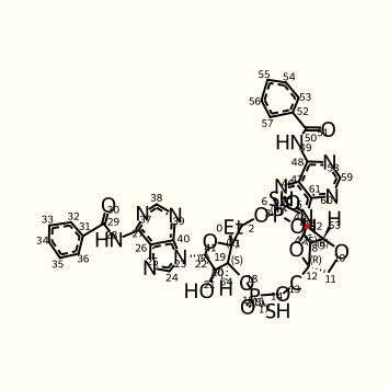 CC[C@@]12CO[P@@](=O)(S)O[C@H]3[C@H]4OC[C@]3(CO[P@](=O)(S)O[C@H]1[C@@H](O)[C@H](n1cnc3c(NC(=O)c5ccccc5)ncnc31)O2)O[C@H]4n1cnc2c(NC(=O)c3ccccc3)ncnc21